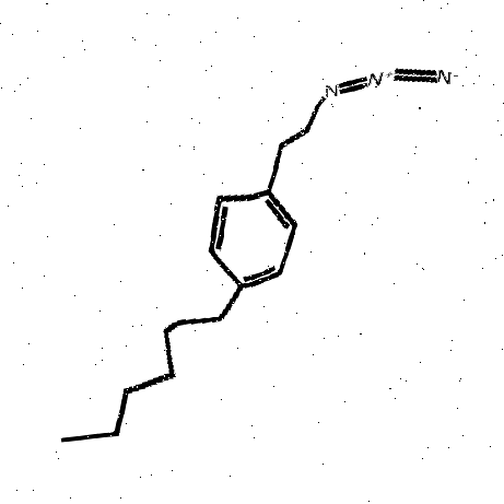 CCCCCCc1ccc(CCN=[N+]=[N-])cc1